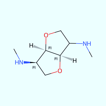 CNC1CO[C@H]2[C@@H]1OC[C@H]2NC